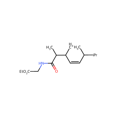 CCOC(=O)CNC(=O)C(C)C(C)/C=C\C(C)C(C)C